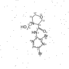 O=C(Nc1ncc(Br)nc1Br)C1COCCN1C(=O)O